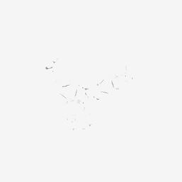 C[C@H]1CC(n2c(Nc3ccc(OC(F)(F)F)cc3)nc3cc(CCC(=O)O)ccc32)CC(C)(C)C1